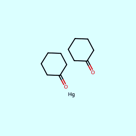 O=C1CCCCC1.O=C1CCCCC1.[Hg]